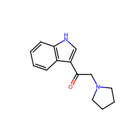 O=C(CN1CCCC1)c1c[nH]c2[c]cccc12